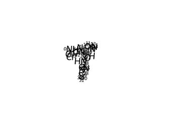 CNC(=O)c1cc2nc(-c3ccc4cn[nH]c4c3)n([C@@H](CC(=O)NCc3nc(Cc4cccs4)no3)C(C)(C)C)c2cc1Cl